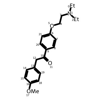 CCN(CC)CCOc1ccc(C(=O)Cc2ccc(OC)cc2)cc1